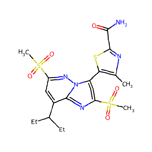 CCC(CC)c1cc(S(C)(=O)=O)nn2c(-c3sc(C(N)=O)nc3C)c(S(C)(=O)=O)nc12